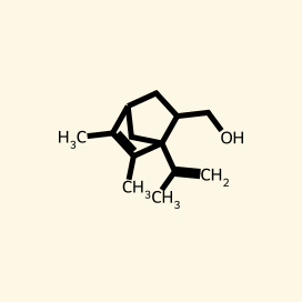 C=C(C)C12CC(CC1CO)C(C)=C2C